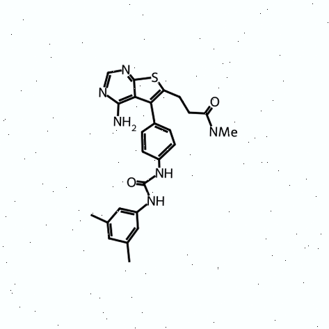 CNC(=O)CCc1sc2ncnc(N)c2c1-c1ccc(NC(=O)Nc2cc(C)cc(C)c2)cc1